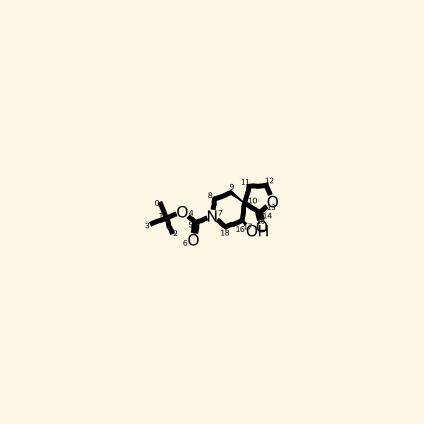 CC(C)(C)OC(=O)N1CC[C@]2(CCOC2=O)[C@@H](O)C1